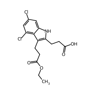 CCOC(=O)CCc1c(CCC(=O)O)[nH]c2cc(Cl)cc(Cl)c12